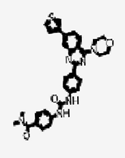 CN(C)C(=O)c1ccc(NC(=O)Nc2ccc(-c3nc(N4CCOCC4)c4ccc(-c5ccsc5)cc4n3)cc2)cc1